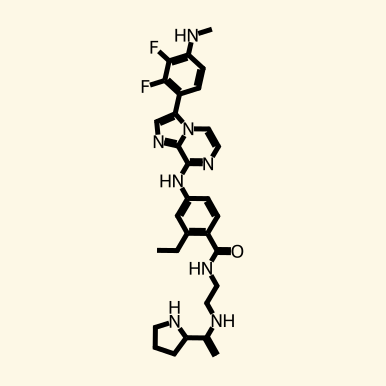 C=C(NCCNC(=O)c1ccc(Nc2nccn3c(-c4ccc(NC)c(F)c4F)cnc23)cc1CC)C1CCCN1